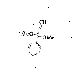 C#C[Si](OC)(OC)c1ccccc1